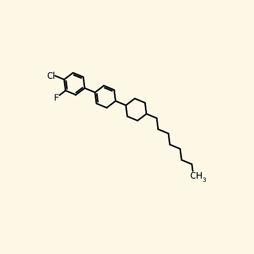 CCCCCCCCC1CCC(C2C=CC(c3ccc(Cl)c(F)c3)=CC2)CC1